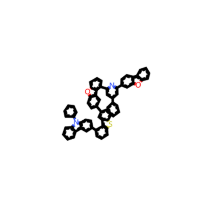 c1ccc(-c2cc(-c3ccc4c(c3)oc3ccccc34)nc(-c3cccc4oc5ccc(-c6ccc7sc8cccc(-c9ccc%10c(c9)c9ccccc9n%10-c9ccccc9)c8c7c6)cc5c34)c2)cc1